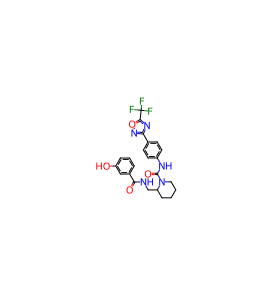 O=C(NCC1CCCCN1C(=O)Nc1ccc(-c2noc(C(F)(F)F)n2)cc1)c1cccc(O)c1